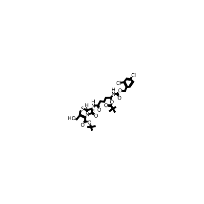 CC(C)(C)OC(=O)C1=C(CO)CS[C@H]2[C@@H](NC(=O)CCCC(NC(=O)OCc3ccc(Cl)cc3Cl)OC(=O)C(C)(C)C)C(=O)N12